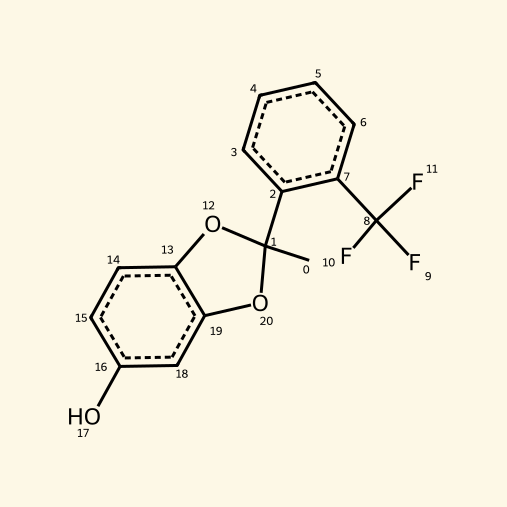 CC1(c2ccccc2C(F)(F)F)Oc2ccc(O)cc2O1